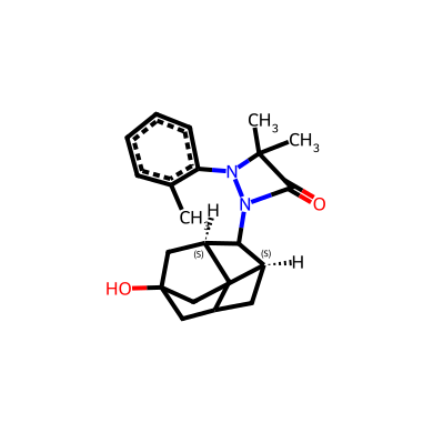 Cc1ccccc1N1N(C2[C@H]3CC4C[C@H]2CC(O)(C4)C3)C(=O)C1(C)C